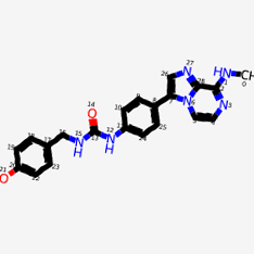 CNc1nccn2c(-c3ccc(NC(=O)NCc4ccc(O)cc4)cc3)cnc12